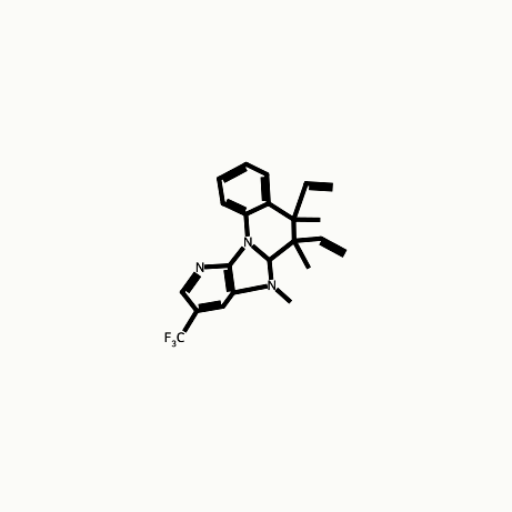 C=CC1(C)c2ccccc2N2c3ncc(C(F)(F)F)cc3N(C)C2C1(C)C=C